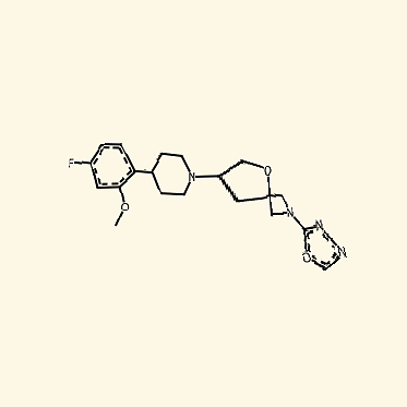 COc1cc(F)ccc1C1CCN(C2COC3(C2)CN(c2nnco2)C3)CC1